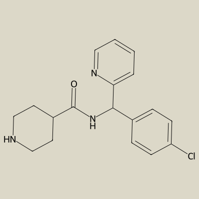 O=C(NC(c1ccc(Cl)cc1)c1ccccn1)C1CCNCC1